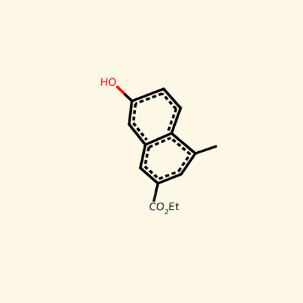 CCOC(=O)c1cc(C)c2ccc(O)cc2c1